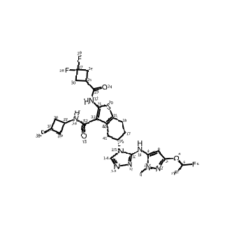 Cn1nc(OC(F)F)cc1Nc1nncn1[C@H]1CCc2sc(NC(=O)C3CC(F)(F)C3)c(C(=O)NC3CC(F)C3)c2C1